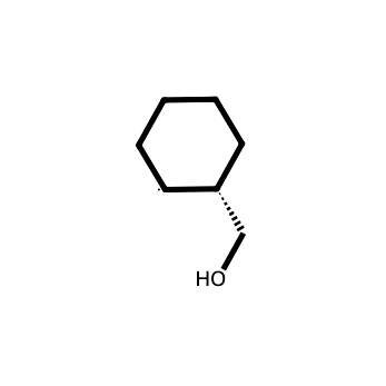 OC[C@@H]1[CH]CCCC1